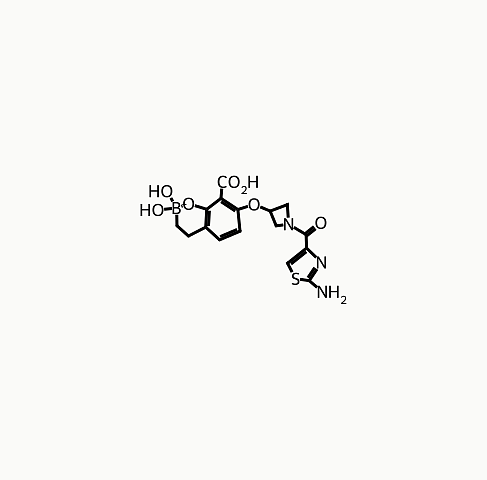 Nc1nc(C(=O)N2CC(Oc3ccc4c(c3C(=O)O)O[B-](O)(O)CC4)C2)cs1